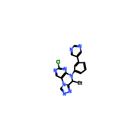 CCC1c2nncn2-c2cnc(Cl)nc2N1c1cccc(-c2cncnc2)c1